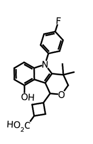 CC1(C)COC(C2CC(C(=O)O)C2)c2c1n(-c1ccc(F)cc1)c1cccc(O)c21